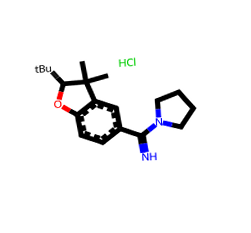 CC(C)(C)C1Oc2ccc(C(=N)N3CCCC3)cc2C1(C)C.Cl